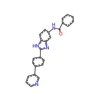 O=C(Nc1ccc2[nH]c(-c3ccc(-c4cccnc4)cc3)nc2c1)c1ccccc1